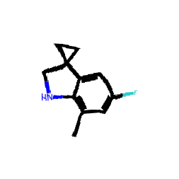 Cc1cc(F)cc2c1NCC21CC1